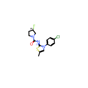 Cc1cn(-c2ccc(Cl)cc2)/c(=N/C(=O)N2CC[C@@H](F)C2)s1